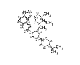 C[C@@H]1CN(c2nnc3cnc4ccc(-c5ccc(N6CCC(N(C)C)CC6)cc5)nc4n23)C[C@H](C)N1C